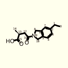 CCc1ccc2c(c1)CN(C(=O)C[C@H](C)C(=O)O)C2